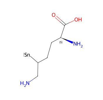 NC[CH]([Sn])CC[C@H](N)C(=O)O